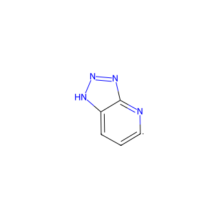 [c]1ccc2[nH]nnc2n1